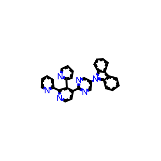 c1ccc(-c2nccc(-c3ncc(-n4c5ccccc5c5ccccc54)cn3)c2-c2ccccn2)nc1